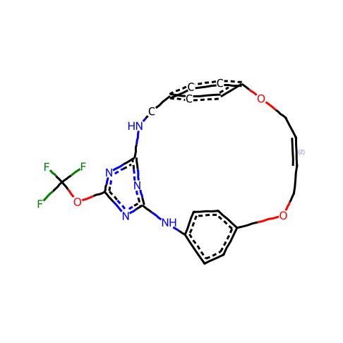 FC(F)(F)Oc1nc2nc(n1)Nc1ccc(cc1)OC/C=C\COc1ccc(cc1)CN2